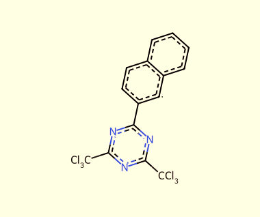 ClC(Cl)(Cl)c1nc(-c2[c]c3ccccc3cc2)nc(C(Cl)(Cl)Cl)n1